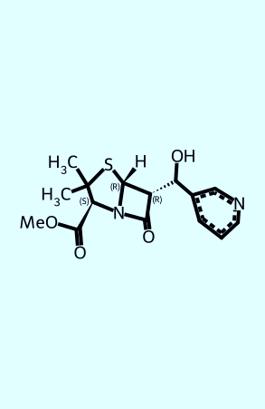 COC(=O)[C@@H]1N2C(=O)[C@@H](C(O)c3cccnc3)[C@H]2SC1(C)C